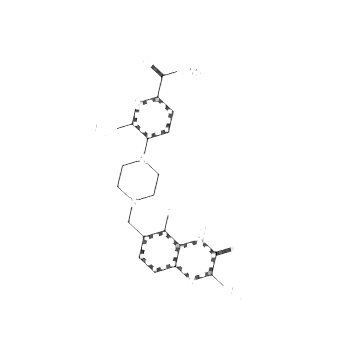 COC(=O)c1ccc(N2CCN(Cc3ccc4nc(C)c(=O)[nH]c4c3F)CC2)c(C)n1